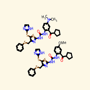 CN(C)c1ccc(NC(=O)Nc2nc(CSc3ccccc3)c(Sc3ncc[nH]3)s2)c(C(=O)C2CCCC2)c1.COc1ccc(NC(=O)Nc2nc(CSc3ccccc3)c(Sc3ncc[nH]3)s2)c(C(=O)C2CCCC2)c1